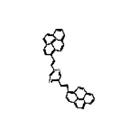 C(=Cc1ccc2ccc3cccc4ccc1c2c34)c1cnc(C=Cc2ccc3ccc4cccc5ccc2c3c45)cn1